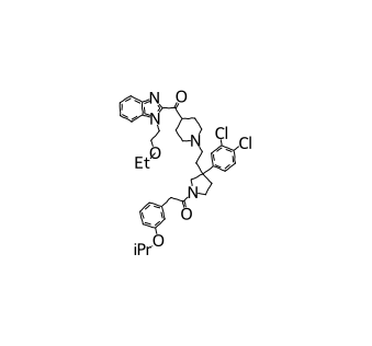 CCOCCn1c(C(=O)C2CCN(CCC3(c4ccc(Cl)c(Cl)c4)CCN(C(=O)Cc4cccc(OC(C)C)c4)C3)CC2)nc2ccccc21